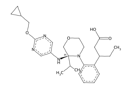 CCC(CC(=O)O)c1ccccc1N1CCOC[C@@]1(Nc1cnc(OCC2CC2)nc1)C(C)C